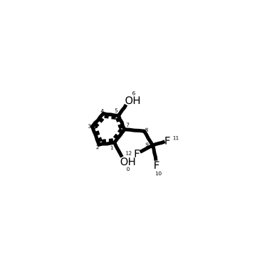 Oc1cccc(O)c1CC(F)(F)F